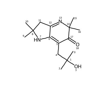 CC(C)(O)CC1=C2NC(C)(C)CC2=NC(C)(C)C1=O